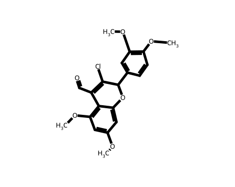 COc1cc(OC)c2c(c1)OC(c1ccc(OC)c(OC)c1)C(Cl)=C2C=O